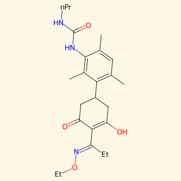 CCCNC(=O)Nc1c(C)cc(C)c(C2CC(=O)C(C(CC)=NOCC)=C(O)C2)c1C